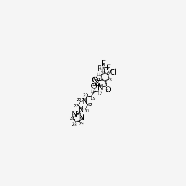 O=C1c2cc(Cl)c(C(F)(F)F)cc2S(=O)(=O)N1CCCCN1CCN(c2ncccn2)CC1